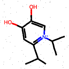 CC(C)c1cc(O)c(O)c[n+]1C(C)C